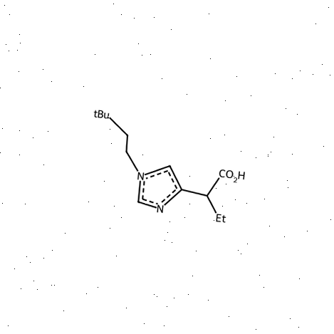 CCC(C(=O)O)c1cn(CCC(C)(C)C)cn1